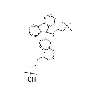 CC(CCC(C)(C)C)C1(c2ccc3c(CCCC(C)(C)O)cccc3c2)c2ccccc2-c2ccccc21